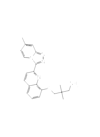 Cc1ccn2c(-c3ccc4cccc(OCC(C)(C)CN)c4n3)nnc2c1